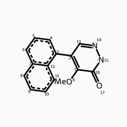 COC1=C(c2cccc3ccccc23)C=N[N]C1=O